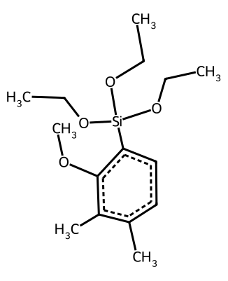 CCO[Si](OCC)(OCC)c1ccc(C)c(C)c1OC